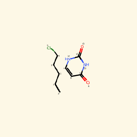 CCCCCCl.O=c1cc[nH]c(=O)[nH]1